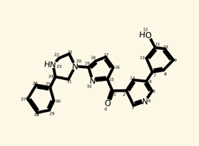 O=C(c1cncc(-c2cccc(O)c2)c1)c1cccc(N2CCNC(c3ccccc3)C2)n1